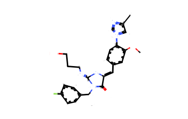 COc1cc(/C=C2\N/C(=N\CCCO)N([C@H](C)c3ccc(F)cc3)C2=O)ccc1-n1cnc(C)c1